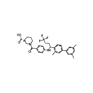 Cc1cc(C)cc(-c2ccc(C(CCC(F)(F)F)Nc3ccc(C(=O)N4CCC[C@@H](C(=O)O)C4)cc3)c(C)c2)c1